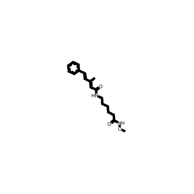 CONC(=O)CCCCCNC(=O)/C=C(C)/C=C/c1ccccc1